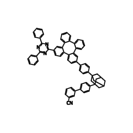 N#Cc1cccc(-c2ccc(C34CC5CC(C3)CC(c3ccc(-c6ccc7c(c6)-c6ccccc6-c6ccccc6-c6cc(-c8nc(-c9ccccc9)nc(-c9ccccc9)n8)ccc6-7)cc3)(C5)C4)cc2)c1